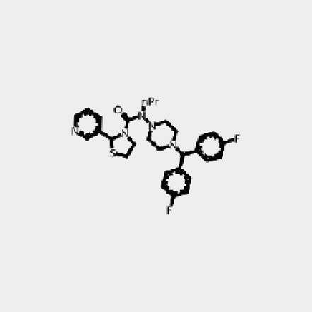 CCCN(C(=O)N1CCSC1c1cccnc1)N1CCN(C(c2ccc(F)cc2)c2ccc(F)cc2)CC1